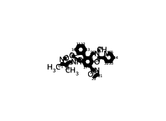 Cc1noc(NS(=O)(=O)c2ccccc2-c2ccc(-c3ncco3)cc2CN(C)C(=O)c2ccccn2)c1C